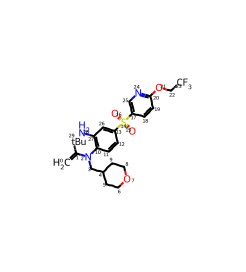 C=C(N(CC1CCOCC1)c1ccc(S(=O)(=O)c2ccc(OCC(F)(F)F)nc2)cc1N)C(C)(C)C